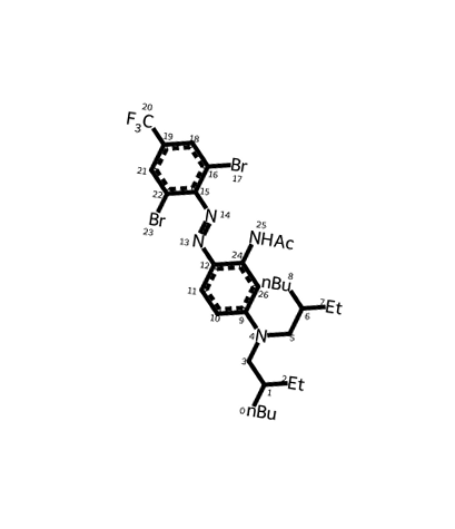 CCCCC(CC)CN(CC(CC)CCCC)c1ccc(N=Nc2c(Br)cc(C(F)(F)F)cc2Br)c(NC(C)=O)c1